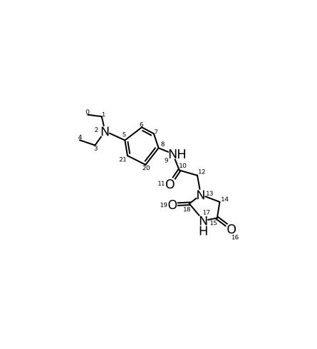 CCN(CC)c1ccc(NC(=O)CN2CC(=O)NC2=O)cc1